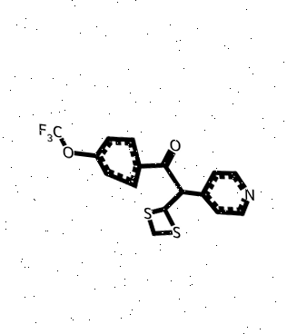 O=C(c1ccc(OC(F)(F)F)cc1)C(c1ccncc1)C1SCS1